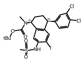 CN(C(=O)OC(C)(C)C)[C@H]1CC[C@@H](c2ccc(Cl)c(Cl)c2)c2cc(I)c(NS(C)(=O)=O)cc21